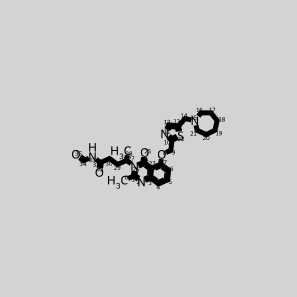 Cc1nc2cccc(OCc3ncc(CN4CCCCCC4)s3)c2c(=O)n1C(C)CCC(=O)NC=O